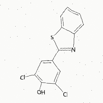 Oc1c(Cl)cc(-c2nc3ccccc3s2)cc1Cl